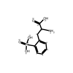 NC(Cc1ccccc1P(=O)(O)O)C(=O)O